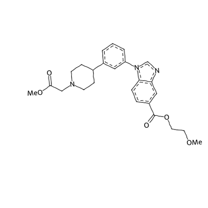 COCCOC(=O)c1ccc2c(c1)ncn2-c1cccc(C2CCN(CC(=O)OC)CC2)c1